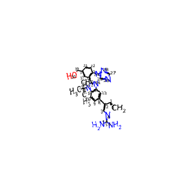 C=C/C(=C\N=C(N)N)c1ccc2c(c1)nc(-c1cc(CO)ccc1-n1cncn1)n2C(C)(C)C